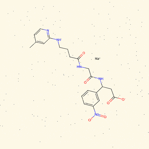 Cc1ccnc(NCCCC(=O)NCC(=O)NC(CC(=O)[O-])c2cccc([N+](=O)[O-])c2)c1.[Na+]